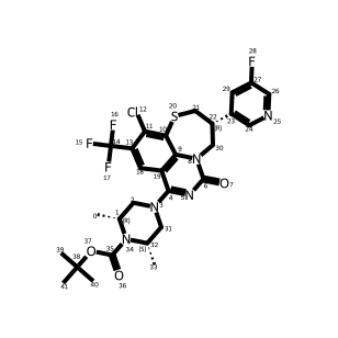 C[C@@H]1CN(c2nc(=O)n3c4c(c(Cl)c(C(F)(F)F)cc24)SC[C@H](c2cncc(F)c2)C3)C[C@H](C)N1C(=O)OC(C)(C)C